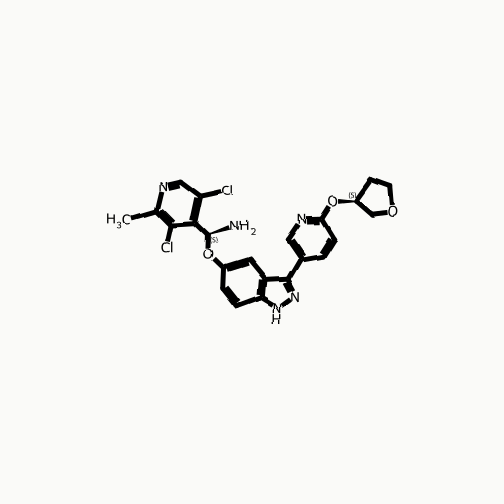 Cc1ncc(Cl)c([C@@H](N)Oc2ccc3[nH]nc(-c4ccc(O[C@H]5CCOC5)nc4)c3c2)c1Cl